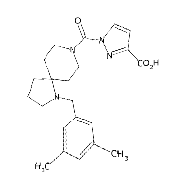 Cc1cc(C)cc(CN2CCCC23CCN(C(=O)n2ccc(C(=O)O)n2)CC3)c1